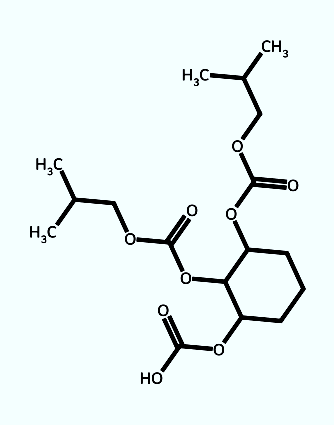 CC(C)COC(=O)OC1CCCC(OC(=O)O)C1OC(=O)OCC(C)C